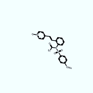 CCC(=O)N(c1ccccc1C=Cc1cc[n+]([O-])cc1)S(=O)(=O)c1ccc(OC)cc1